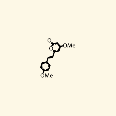 COc1ccc(/C=C/c2cc(OC)cc(=O)o2)cc1